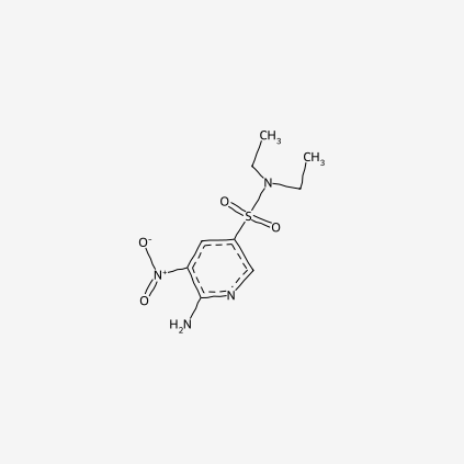 CCN(CC)S(=O)(=O)c1cnc(N)c([N+](=O)[O-])c1